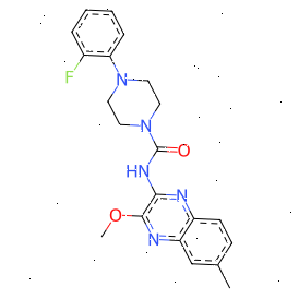 COc1nc2cc(C)ccc2nc1NC(=O)N1CCN(c2ccccc2F)CC1